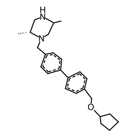 CC1CN(Cc2ccc(-c3ccc(COC4CCCC4)cc3)cc2)[C@H](C)CN1